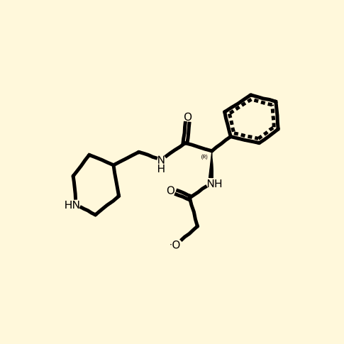 [O]CC(=O)N[C@@H](C(=O)NCC1CCNCC1)c1ccccc1